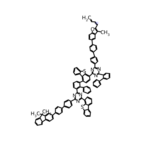 C=C/C=C\c1oc2ccc(-c3ccc(-c4ccc(-c5nc(-c6ccccc6-c6ccccc6)nc(-c6ccc(-c7cccc(-c8nc(-c9ccc(-c%10ccc(-c%11ccc%12c(c%11)C(C)(C)c%11ccccc%11-%12)cc%10)cc9)nc(-c9cccc%10c9sc9ccccc9%10)n8)c7-c7ccccc7)c7c6sc6ccccc67)n5)cc4)cc3)cc2c1C